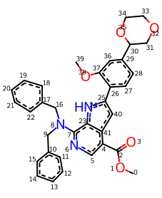 COC(=O)c1cnc(N(Cc2ccccc2)Cc2ccccc2)c2[nH]c(-c3ccc(C4COCCO4)cc3OC)cc12